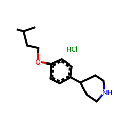 CC(C)CCOc1ccc(C2CCNCC2)cc1.Cl